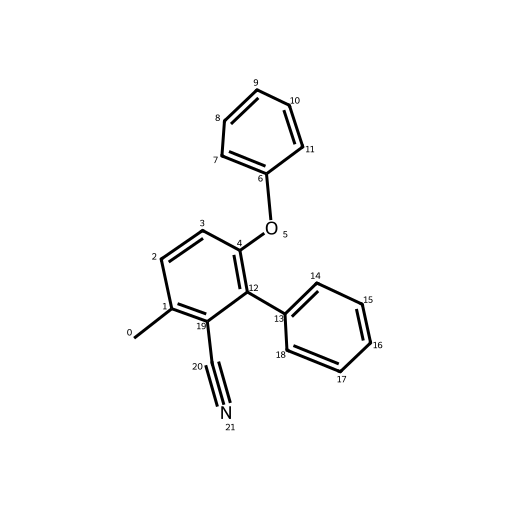 Cc1ccc(Oc2ccccc2)c(-c2ccccc2)c1C#N